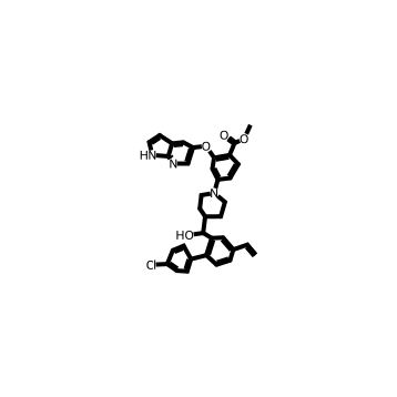 C=Cc1ccc(-c2ccc(Cl)cc2)c(C(O)C2CCN(c3ccc(C(=O)OC)c(Oc4cnc5[nH]ccc5c4)c3)CC2)c1